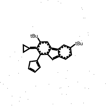 CC(C)(C)c1ccc2c(c1)=c1cc(C(C)(C)C)c(=C3CC3)c(C3=CC=CC3)c1[C]=2